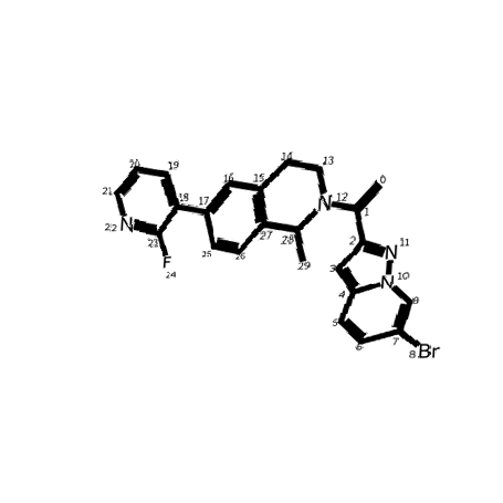 C=C(c1cc2ccc(Br)cn2n1)N1CCc2cc(-c3cccnc3F)ccc2C1C